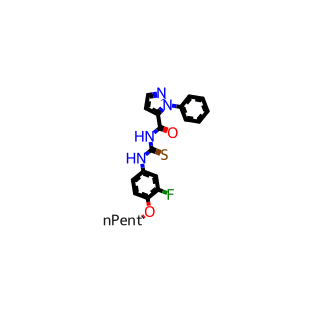 CCCCCOc1ccc(NC(=S)NC(=O)c2ccnn2-c2ccccc2)cc1F